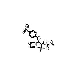 CN(C)C(=O)OC(C(Oc1ccc([N+](=O)[O-])cc1)n1ccnc1)C(C)(C)C